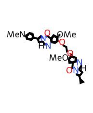 CNc1ccc(C2=CN3C(=O)c4cc(OC)c(OCCCOc5cc6c(cc5OC)C(=O)N5C=C(C7CC7)C[C@H]5C=N6)cc4N=C[C@@H]3C2)cc1